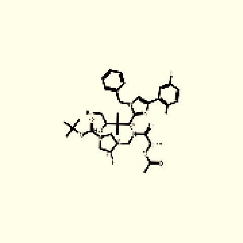 CC(=O)O[C@@H](C)C(=O)N(C[C@@H]1CN(C(=O)OC(C)(C)C)C[C@@H]1F)[C@@H](c1nc(-c2cc(F)ccc2F)cn1Cc1ccccc1)C(C)(C)C(O)CO